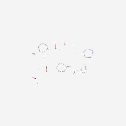 CNC(=O)CCC(C=O)N(C)Cc1c(C=O)cccc1NC(=O)CC(=O)N1CCN(c2cc(Nc3ncc(C(=O)Nc4c(C)cccc4Cl)s3)nc(C)n2)CC1